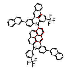 FC(F)(F)c1cccc(N(C2=C3C=CC4=C5C(=CC=C(C=C2)C35)C(N(c2cccc(C(F)(F)F)c2)c2ccc(-c3ccc5ccccc5c3)cc2-c2ccc3ccccc3c2)C=C4)c2ccc(-c3ccc4ccccc4c3)cc2-c2ccc3ccccc3c2)c1